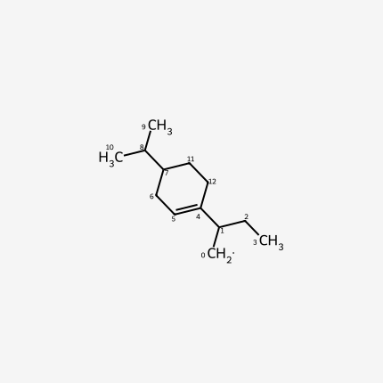 [CH2]C(CC)C1=CCC(C(C)C)CC1